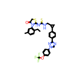 CCc1ccc(C)cc1N1C(=O)CS/C1=N\C(=S)NCC1CC1c1ccc(-c2ncn(-c3ccc(OC(F)(F)F)cc3)n2)cc1